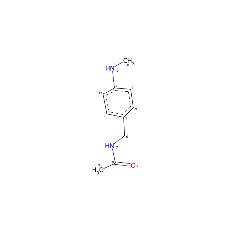 CNc1ccc(CNC(C)=O)cc1